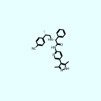 Cc1n[nH]c(C)c1-c1ccc(NC(=O)[C@H](NC[C@@H](C)c2ccc(C#N)cc2)c2ccccc2)nc1